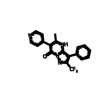 Cc1[nH]c2c(-c3ccccc3)c(C(F)(F)F)nn2c(=O)c1-c1ccncc1